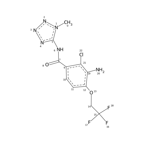 Cn1nnnc1NC(=O)c1ccc(OCC(F)(F)F)c(N)c1Cl